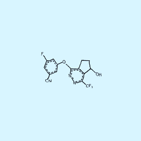 N#Cc1cc(F)cc(Oc2nnc(C(F)(F)F)c3c2CCC3O)c1